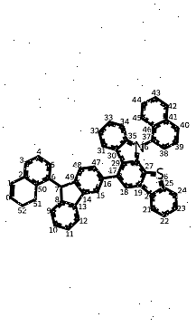 C1=Cc2cccc(C3c4ccccc4-c4cc(-c5cc6c7ccccc7sc6c6c5c5ccccc5n6-c5cccc6ccccc56)ccc43)c2CC1